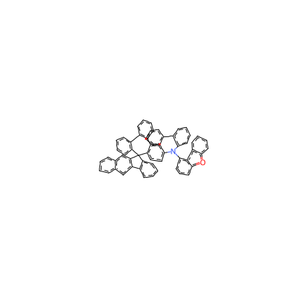 c1ccc(-c2ccccc2N(c2ccc3c(c2)-c2ccccc2-c2ccccc2C32c3ccccc3-c3cc4ccccc4cc32)c2cccc3oc4ccccc4c23)cc1